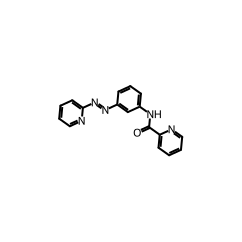 O=C(Nc1cccc(N=Nc2ccccn2)c1)c1ccccn1